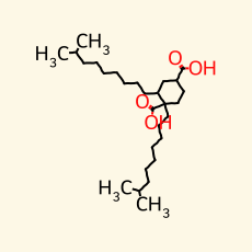 CC(C)CCCCCCCC1CC(C(=O)O)CCC1(CCCCCCCC(C)C)C(=O)O